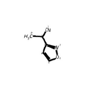 CC(C#N)c1ccon1